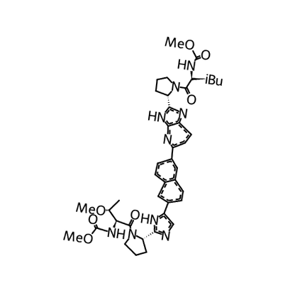 CC[C@H](C)[C@H](NC(=O)OC)C(=O)N1CCC[C@H]1c1nc2ccc(-c3ccc4cc(-c5cnc([C@@H]6CCCN6C(=O)[C@@H](NC(=O)OC)[C@@H](C)OC)[nH]5)ccc4c3)nc2[nH]1